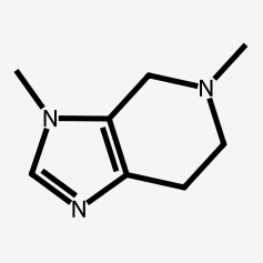 CN1CCc2ncn(C)c2C1